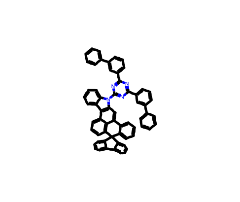 c1ccc(-c2cccc(-c3nc(-c4cccc(-c5ccccc5)c4)nc(-n4c5ccccc5c5c6cccc7c6c(cc54)-c4ccccc4C74c5ccccc5-c5ccccc54)n3)c2)cc1